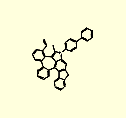 C=Cc1cccc2c1-c1c(C)n(-c3ccc(-c4ccccc4)cc3)c3cc4c(c(c13)-c1ccccc1-2)-c1ccccc1C4